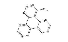 Cc1nnnc2c3nnnnc3c3nnnnc3c12